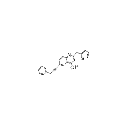 Oc1cc(Cc2cccs2)nc2ccc(C#CCc3ccccc3)cc12